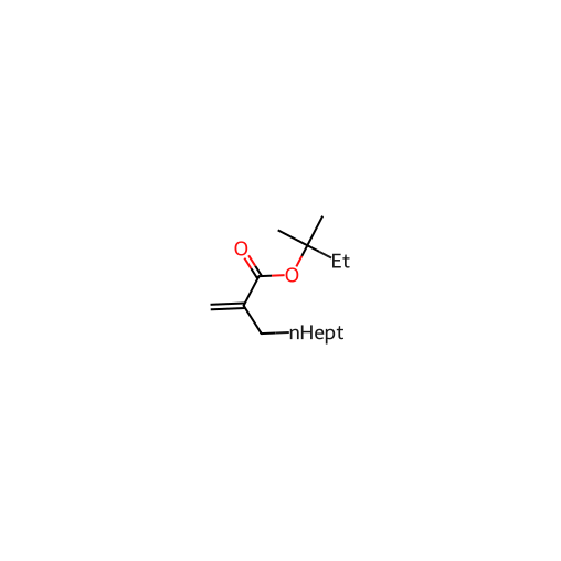 C=C(CCCCCCCC)C(=O)OC(C)(C)CC